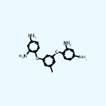 Cc1cc(Oc2ccc(N)cc2N)cc(Oc2ccc(N)cc2N)c1